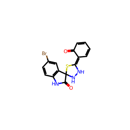 O=C1C=CC=CC1=C1NNC2(S1)C(=O)Nc1ccc(Br)cc12